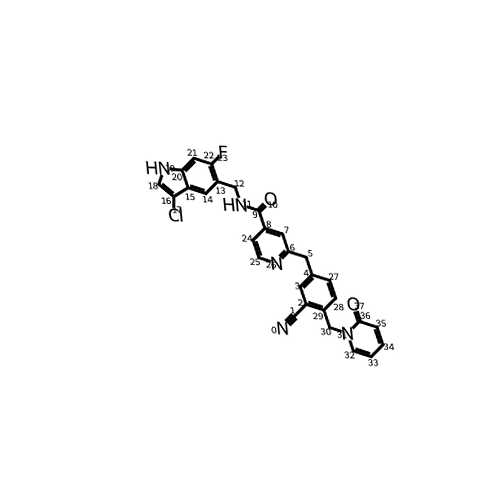 N#Cc1cc(Cc2cc(C(=O)NCc3cc4c(Cl)c[nH]c4cc3F)ccn2)ccc1Cn1ccccc1=O